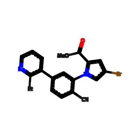 CCc1ncccc1-c1ccc(C#N)c(-n2cc(Br)cc2C(=O)OC)c1